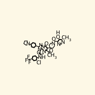 Cc1ncnc(C(=O)N2CCC3(CC2)O[C@H](C)c2c3c(=O)n3nc(-c4ccc(N5CCCC5)cc4)nc3n2CC(=O)Nc2ccc(C(F)(F)F)cc2Cl)c1O